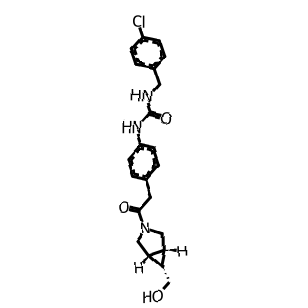 O=C(NCc1ccc(Cl)cc1)Nc1ccc(CC(=O)N2C[C@@H]3[C@H](CO)[C@@H]3C2)cc1